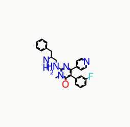 Cn1c(NC[C@@H](N)Cc2ccccc2)nc(-c2ccncc2)c(-c2cccc(F)c2)c1=O